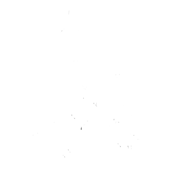 COc1cc(N2C[C@@H](C)n3c(c(CCCOc4cc(C)c(Cl)c(C)c4)c4ccc(Cl)c(-c5c(C)nn(C)c5C)c43)C2=O)c2c(c1)cc(C(=O)O)n2Cc1cc(C)ccn1